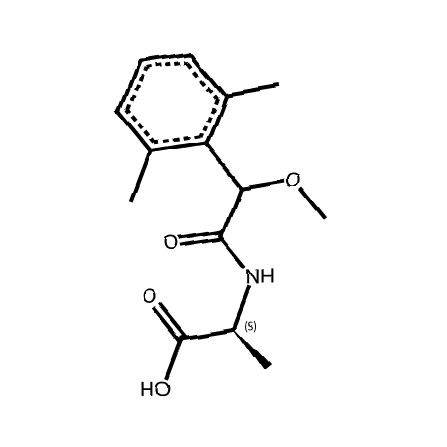 COC(C(=O)N[C@@H](C)C(=O)O)c1c(C)cccc1C